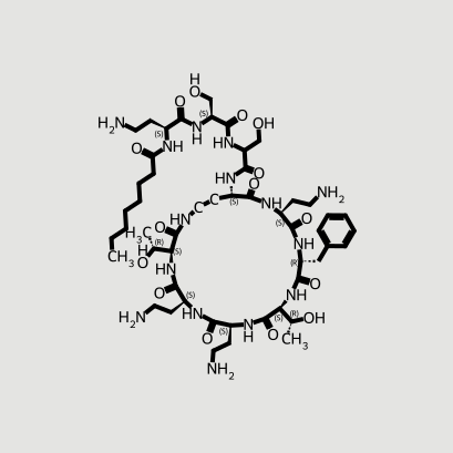 CCCCCCCC(=O)N[C@@H](CCN)C(=O)N[C@@H](CO)C(=O)NC(CO)C(=O)N[C@H]1CCNC(=O)[C@H]([C@@H](C)O)NC(=O)[C@H](CCN)NC(=O)[C@H](CCN)NC(=O)[C@H]([C@@H](C)O)NC(=O)[C@@H](Cc2ccccc2)NC(=O)[C@H](CCN)NC1=O